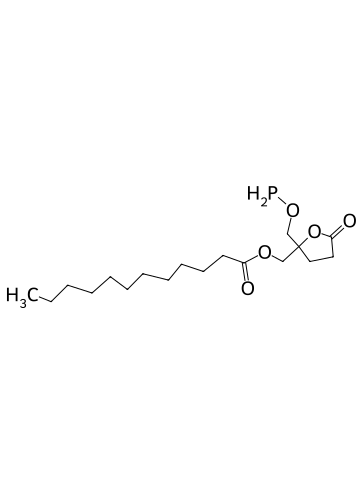 CCCCCCCCCCCC(=O)OCC1(COP)CCC(=O)O1